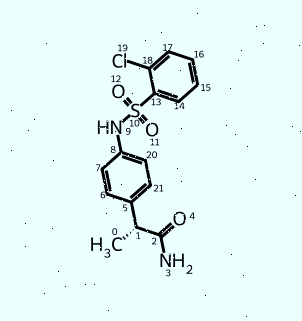 C[C@@H](C(N)=O)c1ccc(NS(=O)(=O)c2ccccc2Cl)cc1